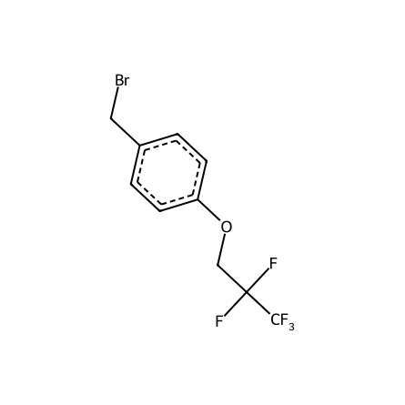 FC(F)(F)C(F)(F)COc1ccc(CBr)cc1